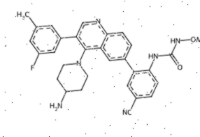 CONC(=O)Nc1ccc(C#N)cc1-c1ccc2ncc(-c3cc(C)cc(F)c3)c(N3CCC(N)CC3)c2c1